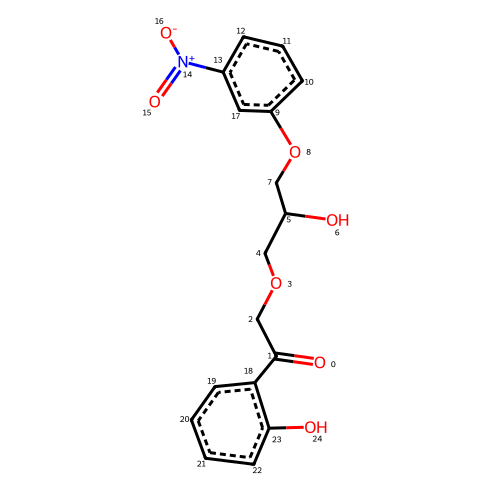 O=C(COCC(O)COc1cccc([N+](=O)[O-])c1)c1ccccc1O